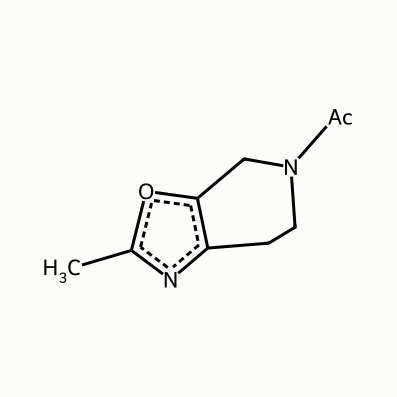 CC(=O)N1CCc2nc(C)oc2C1